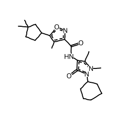 Cc1c(C(=O)Nc2c(C)n(C)n(C3CCCCC3)c2=O)noc1C1CCC(C)(C)C1